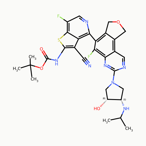 CC(C)N[C@H]1CN(c2ncc3c4c(c(-c5ncc(F)c6sc(NC(=O)OC(C)(C)C)c(C#N)c56)c(F)c3n2)COC4)C[C@H]1O